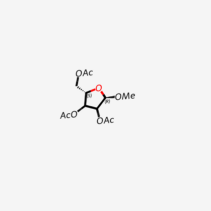 CO[C@@H]1O[C@@H](COC(C)=O)C(OC(C)=O)C1OC(C)=O